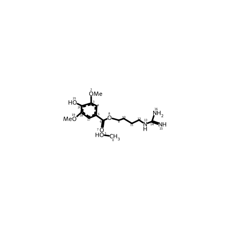 CO.COc1cc(C(=O)OCCCCNC(=N)N)cc(OC)c1O